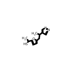 CC(S)c1ccc(CC(C)c2ccnnc2)o1